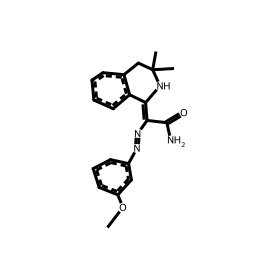 COc1cccc(N=NC(C(N)=O)=C2NC(C)(C)Cc3ccccc32)c1